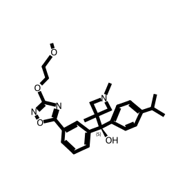 COCCOc1noc(-c2cccc([C@@](O)(c3ccc(C(C)C)cc3)C3(C)CN(C)C3)c2)n1